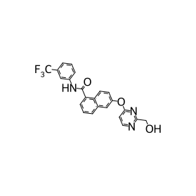 O=C(Nc1cccc(C(F)(F)F)c1)c1cccc2cc(Oc3ccnc(CO)n3)ccc12